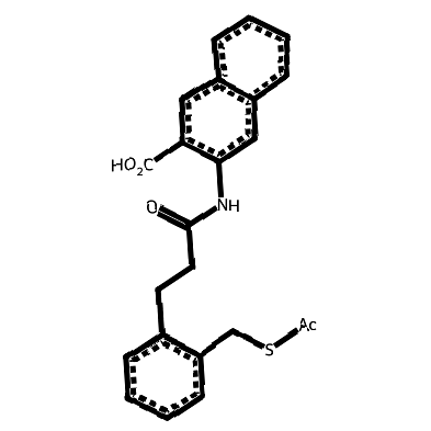 CC(=O)SCc1ccccc1CCC(=O)Nc1cc2ccccc2cc1C(=O)O